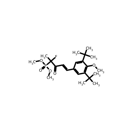 COc1c(C(C)(C)C)cc(C=CC(=O)C(C)(F)P(=O)(OC)OC)cc1C(C)(C)C